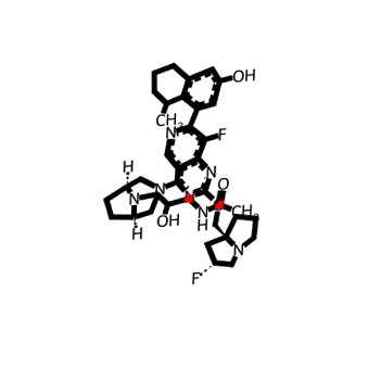 CC(=O)NCC(O)CN1[C@@H]2CC[C@H]1CN(c1nc(OC[C@@]34CCCN3C[C@H](F)C4)nc3c(F)c(-c4cc(O)cc5c4C(C)CCC5)ncc13)C2